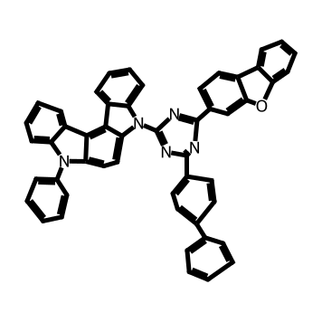 c1ccc(-c2ccc(-c3nc(-c4ccc5c(c4)oc4ccccc45)nc(-n4c5ccccc5c5c6c7ccccc7n(-c7ccccc7)c6ccc54)n3)cc2)cc1